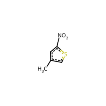 Cc1csc([N+](=O)[O-])c1